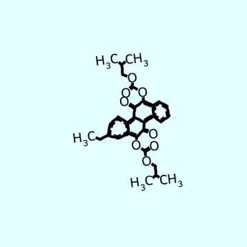 CCc1ccc2c(c1)=C(OC(=O)OCC(C)C)C(=O)C1=c3ccccc3=C(OC(=O)OCC(C)C)C(=O)C=21